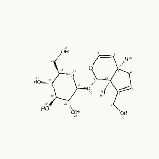 OCC1=CC[C@@H]2C=CO[C@@H](O[C@@H]3O[C@H](CO)[C@@H](O)[C@H](O)[C@H]3O)[C@H]12